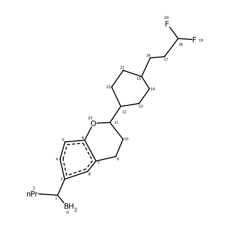 BC(CCC)c1ccc2c(c1)CCC(C1CCC(CCC(F)F)CC1)O2